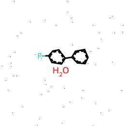 Fc1ccc(-c2ccccc2)cc1.O